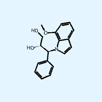 COc1cccc2ccn([C@@H](c3ccccc3)[C@H](O)CO)c12